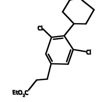 CCOC(=O)CCc1cc(Cl)c(C2CCCCC2)c(Cl)c1